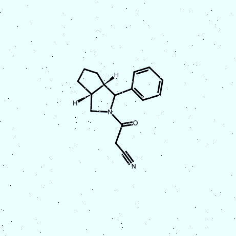 N#CCC(=O)N1C[C@@H]2CCC[C@@H]2C1c1ccccc1